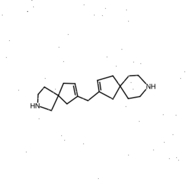 C1=C(CC2=CCC3(CCNC3)C2)CC2(C1)CCNCC2